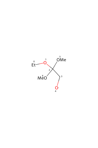 CCOC(C[O])(OC)OC